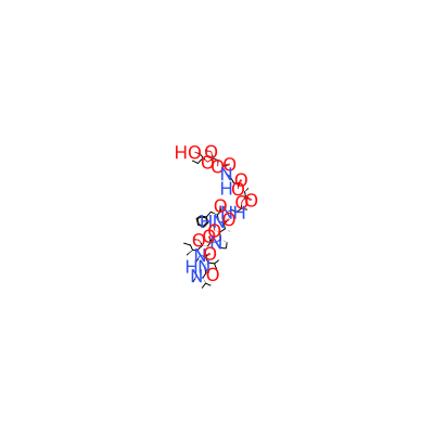 CCC(CO)OC(COC(=O)NCCC(=O)O[C@@H](C)C(=O)O[C@@H](C)CCNC(=O)[C@H](Cc1ccccc1)NC(=O)[C@H](C)[C@@H](OC)[C@@H]1CCCN1C(=O)C[C@@H](OC)[C@H]([C@@H](C)CC)N(C)C(=O)[C@@H](NC(=O)[C@H](C(C)C)N(C)C)C(C)C)OC